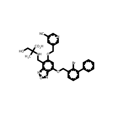 CC(CO)(NCc1c(OCc2cncc(C#N)c2)cc(OCc2cccc(-c3ccccc3)c2Br)c2nonc12)C(=O)O